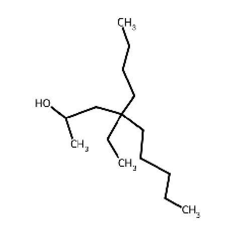 CCCCCC(CC)(CCCC)CC(C)O